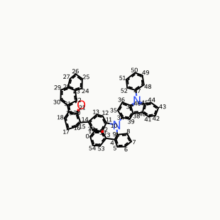 c1ccc(-c2ccccc2N(c2ccc(-c3cccc4c3oc3c5ccccc5ccc43)cc2)c2ccc3c(c2)c2ccccc2n3-c2ccccc2)cc1